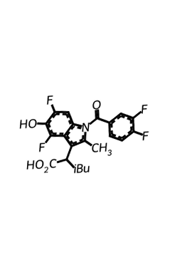 CCC(C)C(C(=O)O)c1c(C)n(C(=O)c2ccc(F)c(F)c2)c2cc(F)c(O)c(F)c12